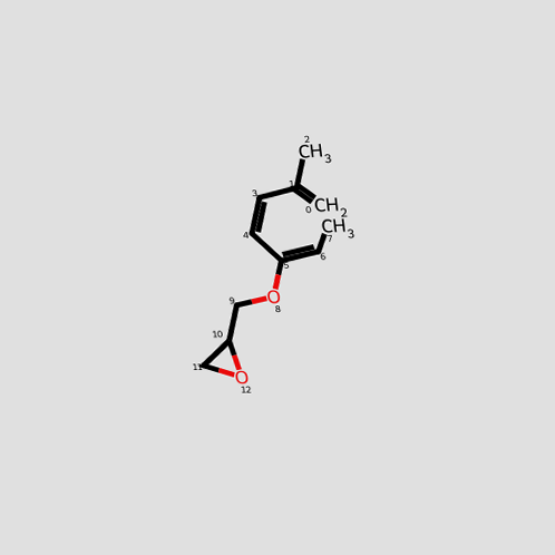 C=C(C)/C=C\C(=C/C)OCC1CO1